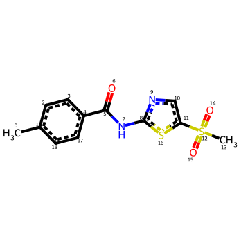 Cc1ccc(C(=O)Nc2ncc(S(C)(=O)=O)s2)cc1